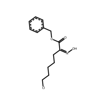 O=C(OCc1ccccc1)/C(CCCCCCl)=N\O